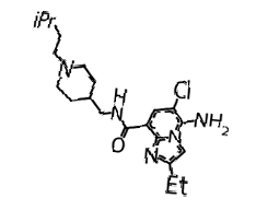 CCc1cn2c(N)c(Cl)cc(C(=O)NCC3CCN(CCC(C)C)CC3)c2n1